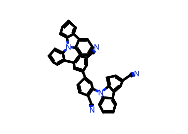 N#Cc1cc(-c2ccc(C#N)c(-n3c4ccccc4c4cc(C#N)ccc43)c2)cc(-c2ccccc2-n2c3ccccc3c3ccccc32)c1